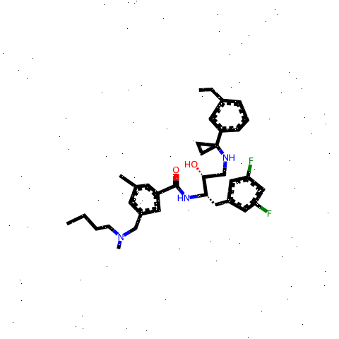 CCCCN(C)Cc1cc(C)cc(C(=O)N[C@@H](Cc2cc(F)cc(F)c2)[C@H](O)CNC2(c3cccc(CC)c3)CC2)c1